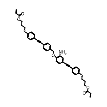 C=CC(=O)OCCCSc1ccc(C#Cc2ccc(COc3ccc(C#Cc4ccc(SCCCOC(=O)C=C)cc4)cc3N)cc2)cc1